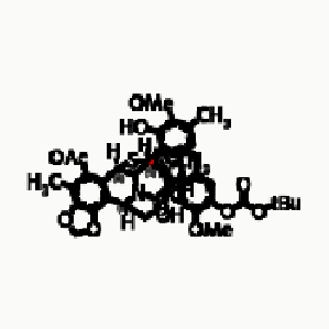 COc1cc2c(cc1OC(=O)OC(C)(C)C)CCN[C@]21CS[C@@H]2c3c(OC(C)=O)c(C)c4c(c3[C@H](COC1=O)N1C2[C@@H]2c3c(cc(C)c(OC)c3O)C[C@@H]([C@@H]1O)N2C)OCO4